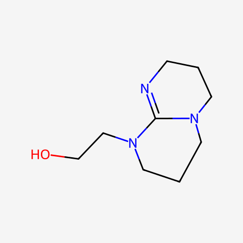 OCCN1CCCN2CCCN=C12